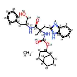 CC(Cc1nc2ccccc2[nH]1)(NC(=O)OC1CCC2CCCC1C2)C(=O)NC(CO)Cc1ccccc1.[CH2]